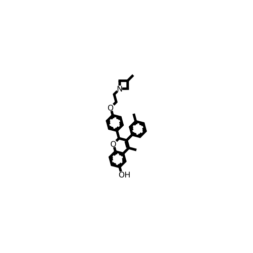 CC1=C(c2cccc(C)c2)C(c2ccc(OCCN3CC(C)C3)cc2)Oc2ccc(O)cc21